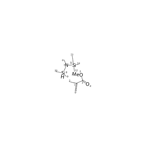 C=C(C)C(=O)OC.CN([SiH](C)C)[Si](C)(C)C